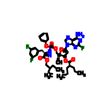 C#C[C@]1(CO[P@@](=O)(N[C@@H](Cc2cc(F)cc(F)c2)C(=O)OCC(CC)CC)Oc2ccccc2)O[C@@H](n2cnc3c(N)nc(F)nc32)C[C@@H]1OC(=O)C(CCC)CCC